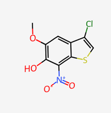 COc1cc2c(Cl)csc2c([N+](=O)[O-])c1O